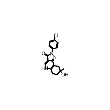 CC1(O)CCc2[nH]cc3c(=O)n(-c4ccc(Cl)cc4)nc-3c2C1